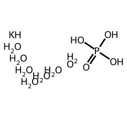 O.O.O.O.O.O.O.O=P(O)(O)O.[KH]